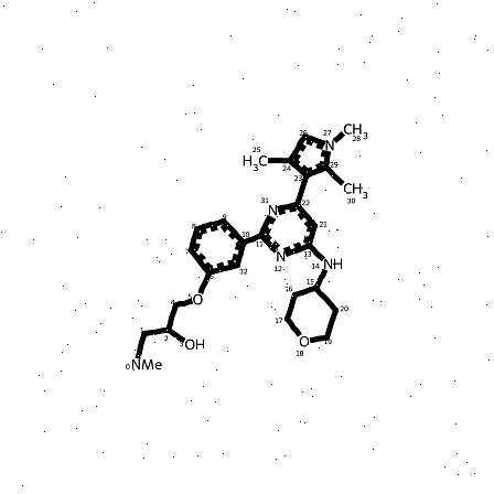 CNCC(O)COc1cccc(-c2nc(NC3CCOCC3)cc(-c3c(C)cn(C)c3C)n2)c1